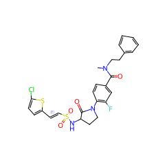 CN(CCc1ccccc1)C(=O)c1ccc(N2CCC(NS(=O)(=O)/C=C/c3ccc(Cl)s3)C2=O)c(F)c1